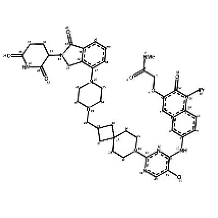 CNC(=O)COc1cc2cc(Nc3nc(N4CCC5(CC4)CC(CN4CCN(c6cccc7c6CN(C6CCC(=O)NC6=O)C7=O)CC4)C5)ncc3Cl)ccc2n(C(C)C)c1=O